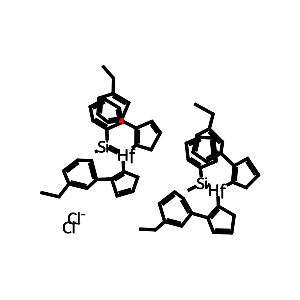 CCc1cccc(C2=[C]([Hf]([C]3=C(c4cccc(CC)c4)C=CC3)=[Si](C)c3ccccc3)CC=C2)c1.CCc1cccc(C2=[C]([Hf]([C]3=C(c4cccc(CC)c4)C=CC3)=[Si](C)c3ccccc3)CC=C2)c1.[Cl-].[Cl-]